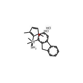 CC1=[C]([Hf]([CH3])([CH3])(=[SiH2])[c]2cccc3c2Cc2ccccc2-3)C(C)C=C1.Cl.Cl